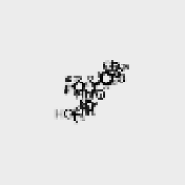 CC(C)(O)Cn1ccc(NC(=O)C(C[C@@H]2CCC(F)(F)C2)c2ccc(S(C)(=O)=O)c(Cl)c2)n1